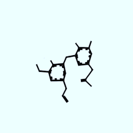 C=CCc1cc(CC)c(O)c(Cc2cc(CC(=C)C)cc(C)c2O)c1